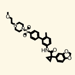 COCCN1CCN(S(=O)(=O)c2ccc(-c3cc(NC(=O)C4(c5ccc6c(c5)OCO6)CC4)ccc3C)cc2)CC1